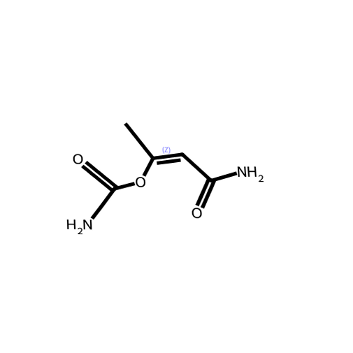 C/C(=C/C(N)=O)OC(N)=O